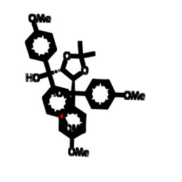 COc1ccc(C(O)(c2ccc(OC)cc2)[C@@H]2OC(C)(C)O[C@H]2C(O)(c2ccc(OC)cc2)c2ccc(OC)cc2)cc1